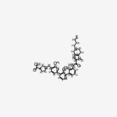 COc1nc(-c2ccnc(-c3cccc(NC(=O)c4nc5c(n4C)CCN(CCCF)C5)c3Cl)c2Cl)ccc1CN1CC[C@H](C(=O)O)C1